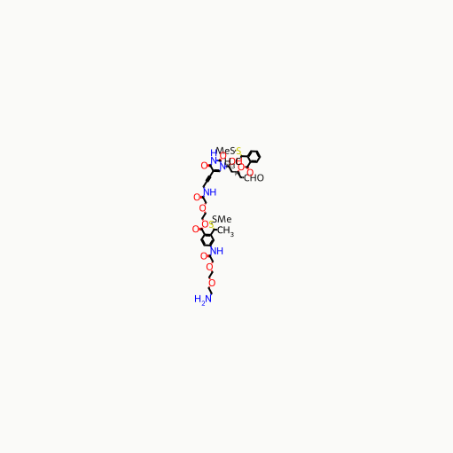 CSSC(C)c1cc(NC(=O)COCCOCCN)ccc1C(=O)OCCOCC(=O)NCC#Cc1cn([C@H](O)C[C@H](CC=O)OC(=O)c2ccccc2C(C)SSC)c(=O)[nH]c1=O